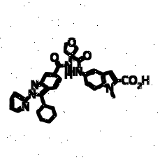 Cn1c(C(=O)O)cc2cc(NC(=O)[C@]3(NC(=O)c4ccc5c(C6CCCCC6)n(-c6ccccn6)nc5c4)CCOC3)ccc21